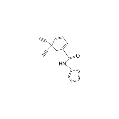 C#CC1(C#C)C=CC=C(C(=O)Nc2ccccc2)C1